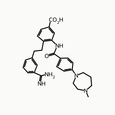 CN1CCCN(c2ccc(C(=O)Nc3cc(C(=O)O)ccc3CCc3cccc(C(=N)N)c3)cc2)CC1